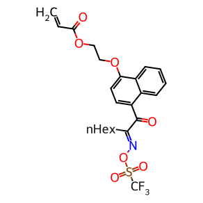 C=CC(=O)OCCOc1ccc(C(=O)/C(CCCCCC)=N/OS(=O)(=O)C(F)(F)F)c2ccccc12